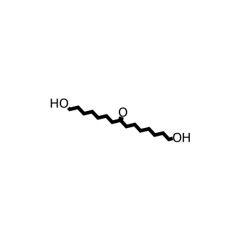 O=C(CCCCCCCO)CCCCCCCO